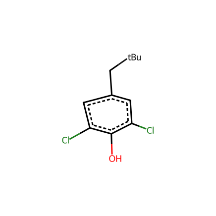 CC(C)(C)Cc1cc(Cl)c(O)c(Cl)c1